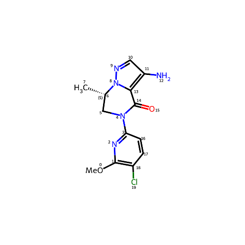 COc1nc(N2C[C@H](C)n3ncc(N)c3C2=O)ccc1Cl